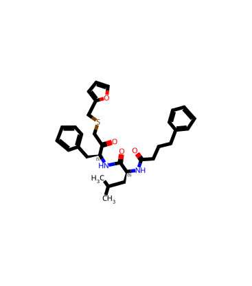 CC(C)C[C@H](NC(=O)CCCc1ccccc1)C(=O)N[C@@H](Cc1ccccc1)C(=O)CSCc1ccco1